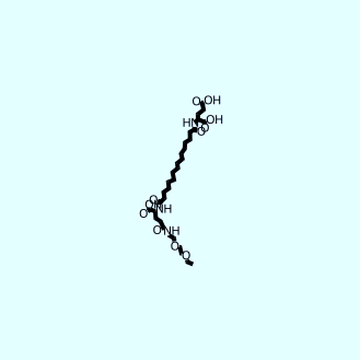 CCOCCOCCNC(=O)CCC(NC(=O)CCCCCCCCCCCCCCC(=O)NC(CCC(=O)O)C(=O)O)C(=O)O